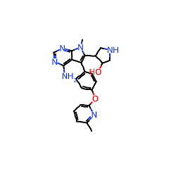 Cc1cccc(Oc2ccc(-c3c(C4CNCC4O)n(C)c4ncnc(N)c34)cc2)n1